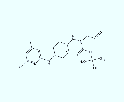 CC(C)(C)OC(=O)N(CC=O)NC1CCC(Nc2cc(I)cc(Cl)n2)CC1